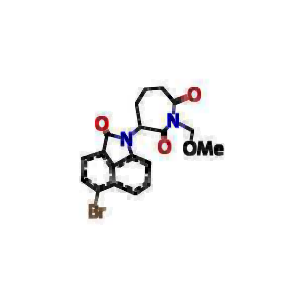 COCN1C(=O)CCCC(N2C(=O)c3ccc(Br)c4cccc2c34)C1=O